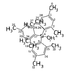 Cc1cc(C)c([Si](O)(c2c(C)cc(C)cc2C)c2c(C)cc(C)cc2C)c(C)c1